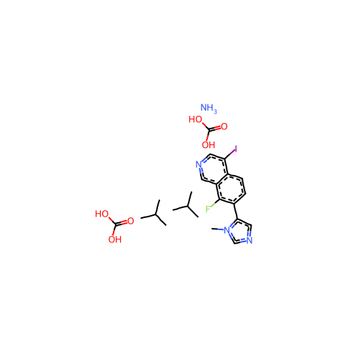 CC(C)C.CC(C)C.Cn1cncc1-c1ccc2c(I)cncc2c1F.N.O=C(O)O.O=C(O)O